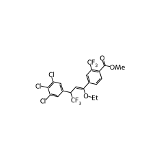 CCOC(=CC(c1cc(Cl)c(Cl)c(Cl)c1)C(F)(F)F)c1ccc(C(=O)OC)c(C(F)(F)F)c1